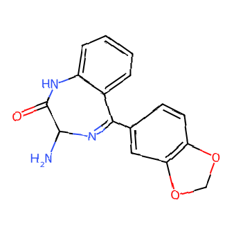 NC1N=C(c2ccc3c(c2)OCO3)c2ccccc2NC1=O